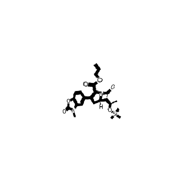 C=CCOC(=O)C1=C(c2ccc3oc(=O)n(C)c3c2)C[C@@H]2[C@@H]([C@@H](C)O[Si](C)(C)C)C(=O)N12